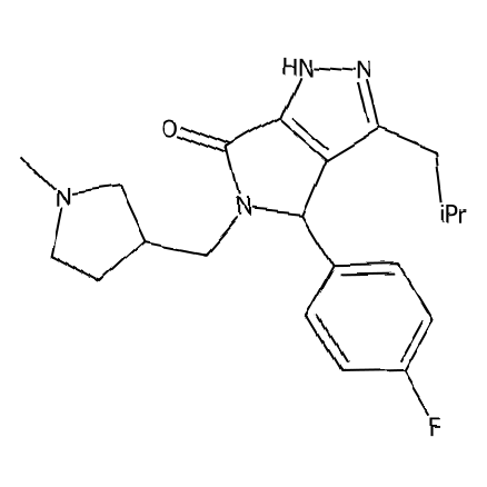 CC(C)Cc1n[nH]c2c1C(c1ccc(F)cc1)N(CC1CCN(C)C1)C2=O